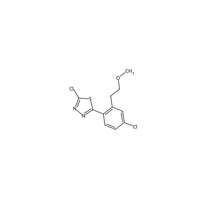 COCCc1cc(Cl)ccc1-c1nnc(Cl)s1